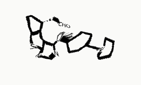 O=CC[C@H]1CCc2sc3ncnc(OC4CCC(N5CCCC5)CC4)c3c21